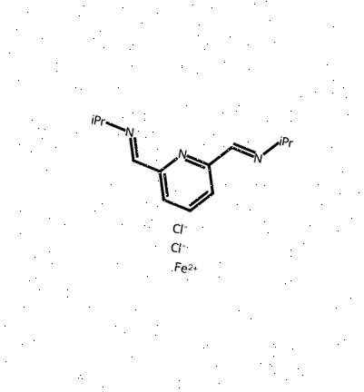 CC(C)N=Cc1cccc(C=NC(C)C)n1.[Cl-].[Cl-].[Fe+2]